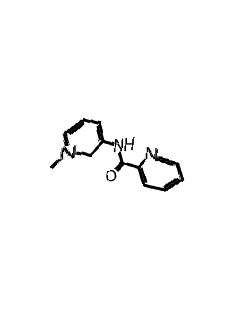 CN1C=CC=C(NC(=O)c2ccccn2)C1